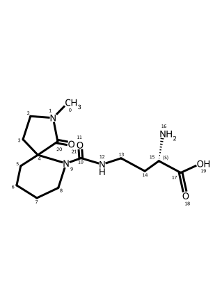 CN1CCC2(CCCCN2C(=O)NCC[C@H](N)C(=O)O)C1=O